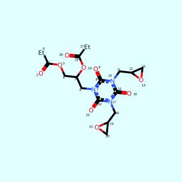 CCC(=O)OCC(Cn1c(=O)n(CC2CO2)c(=O)n(CC2CO2)c1=O)OC(=O)CC